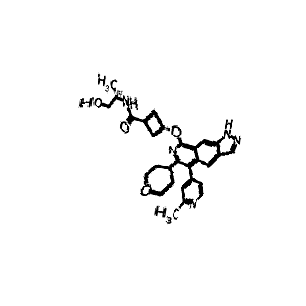 Cc1cc(-c2c(C3CCOCC3)nc(O[C@H]3C[C@H](C(=O)N[C@@H](C)CO)C3)c3cc4[nH]ncc4cc23)ccn1